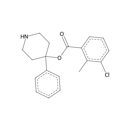 Cc1c(Cl)cccc1C(=O)OC1(c2ccccc2)CCNCC1